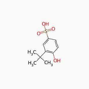 CC(C)(C)c1cc(S(=O)(=O)O)ccc1O